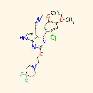 COc1cc(Cl)c(-c2nc(OCCN3CCC(F)(F)CC3)nc3[nH]cc(C#N)c23)cc1OC